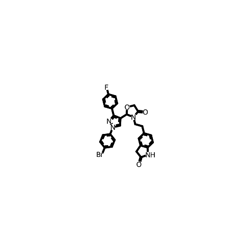 O=C1Cc2cc(CCN3C(=O)COC3c3cn(-c4ccc(Br)cc4)nc3-c3ccc(F)cc3)ccc2N1